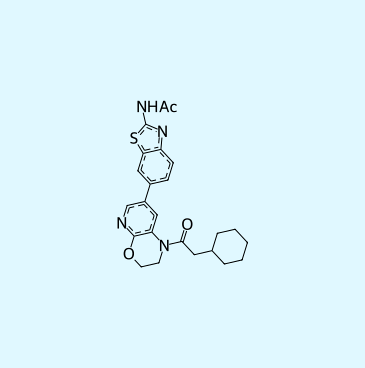 CC(=O)Nc1nc2ccc(-c3cnc4c(c3)N(C(=O)CC3CCCCC3)CCO4)cc2s1